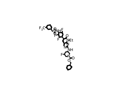 CCn1c(=O)c(-c2cc(F)c(NS(=O)(=O)Cc3cccc(C(F)(F)F)c3)c(F)c2F)cc2cnc(N[C@H]3C[C@H](F)CN(C(=O)OCc4ccccc4)C3)nc21